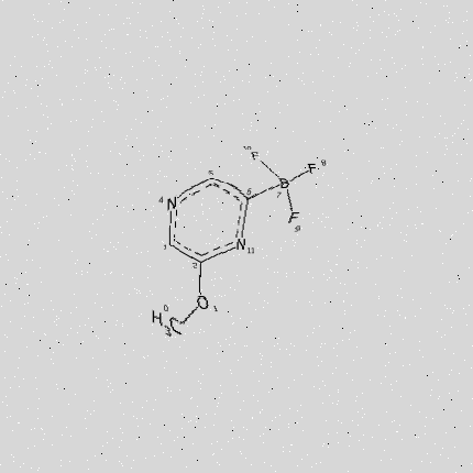 COc1cncc([B-](F)(F)F)n1